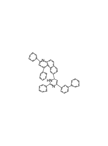 C1=C(c2cccc(-c3ccccc3)c2)N=C(c2ccccc2)NC1c1ccc2ccc3nc(-c4ccccc4)cc(-c4ccccc4)c3c2c1